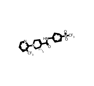 C[C@@H]1CN(c2ncccc2C(F)(F)F)CC=C1C(=O)Nc1ccc(S(=O)(=O)C(F)(F)F)cc1